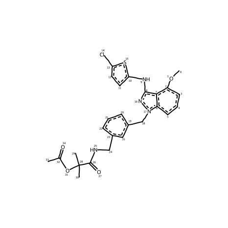 COc1cccc2c1c(Nc1ccc(Cl)s1)nn2Cc1cccc(CNC(=O)C(C)(C)OC(C)=O)c1